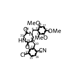 COc1cc(OC)c(CN2C[C@@H](Cc3cc(Cl)ccc3C#N)C(=O)NCC2=O)c(OC)c1